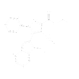 CCOC(=O)c1nn(-c2ccccc2)c(-c2sc3ccccc3c2C)c1C#N